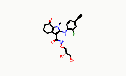 C#Cc1ccc(Nc2c(C(=O)NOC[C@@H](O)CO)c3c(n2C)C(=O)CCC3)c(F)c1